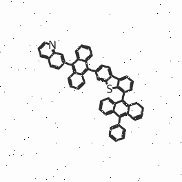 C1#Cc2c(c(-c3cccc4c3sc3cc(-c5c6ccccc6c(-c6ccc7cccnc7c6)c6ccccc56)ccc34)c3ccccc3c2-c2ccccc2)CC1